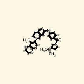 Cc1c(N2CCc3cnc(Nc4ccc(C(=O)N5CC[C@@H](N(C)C)C5)cc4)cc3C2)cnc2c1NCCO2